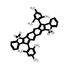 Cc1cc(C)c(C2=c3cc4cc5c(cc4cc3C3=C2c2ccccc2S3(=O)=O)=C(c2c(C)cc(C)cc2C)C2=C5S(=O)(=O)c3ccccc32)c(C)c1